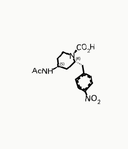 CC(=O)N[C@H]1CCN(C(=O)O)[C@H](Cc2ccc([N+](=O)[O-])cc2)C1